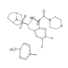 Cc1ccc(S(=O)(=O)O)cc1.N[C@H](Cc1cc(F)c(F)cc1F)C1CC2CCC(C1)N2S(=O)(=O)CCNC(=O)N1CCOCC1